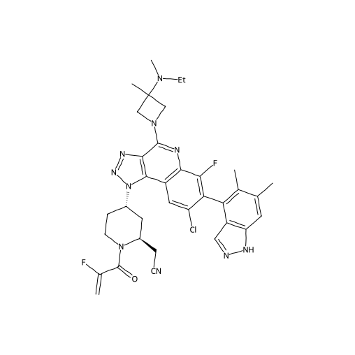 C=C(F)C(=O)N1CC[C@H](n2nnc3c(N4CC(C)(N(C)CC)C4)nc4c(F)c(-c5c(C)c(C)cc6[nH]ncc56)c(Cl)cc4c32)C[C@H]1CC#N